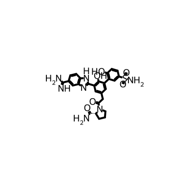 N=C(N)c1ccc2[nH]c(-c3cc(CC(=O)N4CCC[C@@H]4C(N)=O)cc(-c4cc(S(N)(=O)=O)ccc4O)c3O)nc2c1